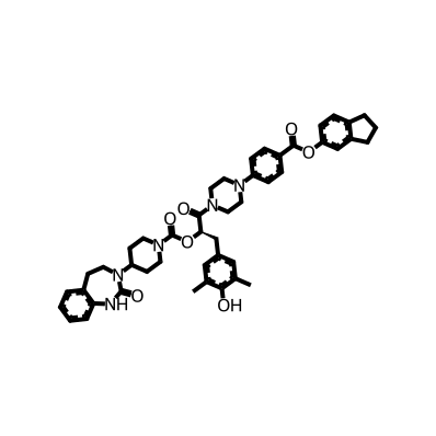 Cc1cc(C[C@@H](OC(=O)N2CCC(N3CCc4ccccc4NC3=O)CC2)C(=O)N2CCN(c3ccc(C(=O)Oc4ccc5c(c4)CCC5)cc3)CC2)cc(C)c1O